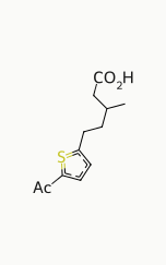 CC(=O)c1ccc(CCC(C)CC(=O)O)s1